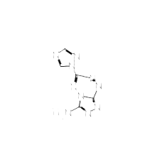 Nc1nnc2nnc(-n3cncn3)nn12